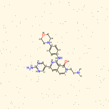 CN(C)CCn1ccc2cc(-c3cnc(N)nc3)nc(Nc3ccc(N4CCOCC4)cc3)c2c1=O